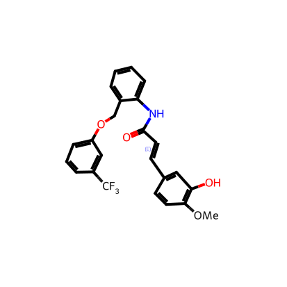 COc1ccc(/C=C/C(=O)Nc2ccccc2COc2cccc(C(F)(F)F)c2)cc1O